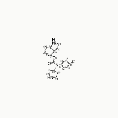 O=C(Oc1ncnc2[nH]ncc12)N(c1ccc(Cl)cc1)C1CCNCC1